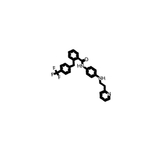 O=C(Nc1ccc(NCCc2ccccn2)cc1)c1ccccc1Cc1ccc(C(F)(F)F)cc1